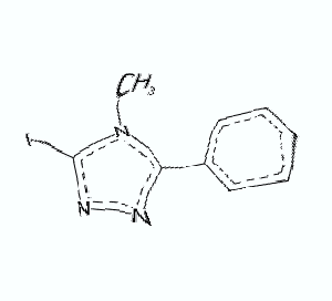 Cn1c(I)nnc1-c1ccccc1